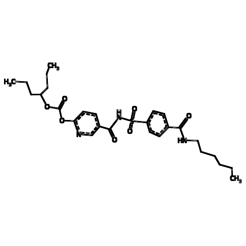 CCCCCCNC(=O)c1ccc(S(=O)(=O)NC(=O)c2ccc(OC(=O)OC(CCC)CCC)nc2)cc1